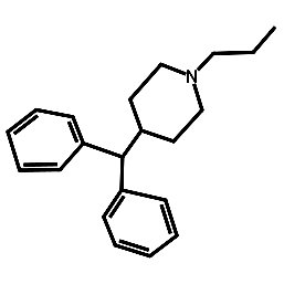 CCCN1CCC(C(c2ccccc2)c2ccccc2)CC1